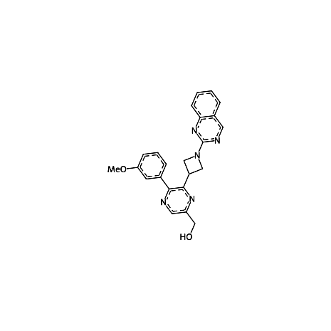 COc1cccc(-c2ncc(CO)nc2C2CN(c3ncc4ccccc4n3)C2)c1